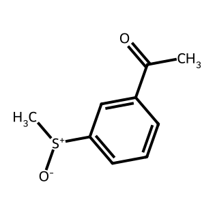 CC(=O)c1cccc([S+](C)[O-])c1